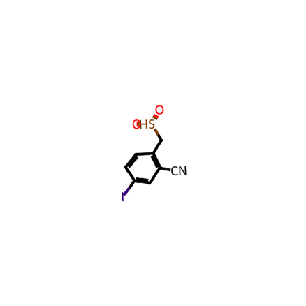 N#Cc1cc(I)ccc1C[SH](=O)=O